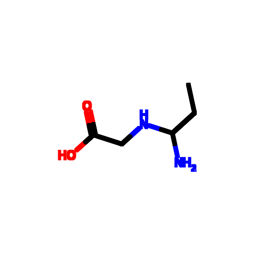 CCC(N)NCC(=O)O